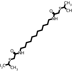 CC(C)SCC(=O)NCCCCCCCCCCCNC(=O)CSC(C)C